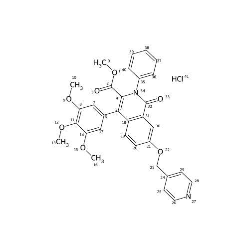 COC(=O)c1c(-c2cc(OC)c(OC)c(OC)c2)c2ccc(OCc3ccncc3)cc2c(=O)n1-c1ccccc1.Cl